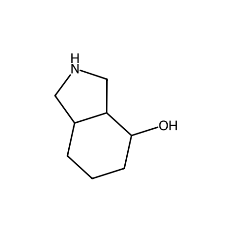 OC1CCCC2CNCC12